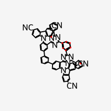 N#Cc1ccc2c(c1)c1cc(C#N)ccc1n2-c1ccc(-c2cccc(-c3ccc(-n4c5ccc(C#N)cc5c5cc(C#N)ccc54)c(-c4nc(-c5ccccc5)nc(-c5ccccc5)n4)c3)c2)cc1-c1nc(-c2ccccc2)nc(-c2ccccc2)n1